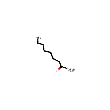 COC(=O)CCCCCCC(C)(C)C